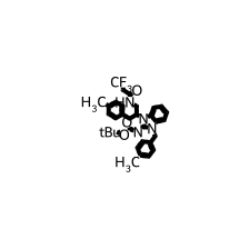 Cc1ccc(CC(CNC(=O)CC(F)(F)F)n2c(=NC(=O)OC(C)(C)C)n(Cc3ccc(C)cc3)c3ccccc32)cc1